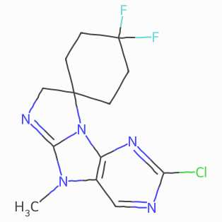 CN1C2=NCC3(CCC(F)(F)CC3)N2c2nc(Cl)ncc21